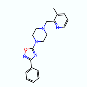 Cc1cccnc1CN1CCN(c2nc(-c3ccccc3)no2)CC1